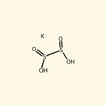 O=S(O)S(=O)O.[K]